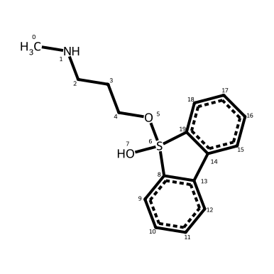 CNCCCOS1(O)c2ccccc2-c2ccccc21